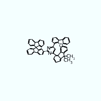 CC1(C)c2ccccc2-c2c(-c3cc(-c4cccc5c4oc4ccccc45)nc(-c4ccc5c(c4)C4(c6ccccc6-c6ccccc64)c4ccccc4-5)n3)cccc21